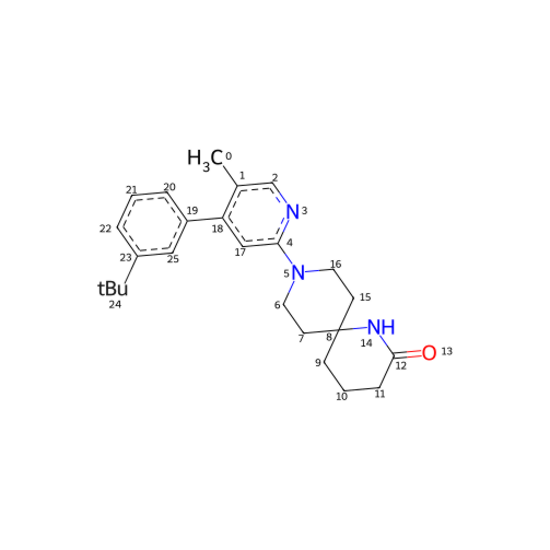 Cc1cnc(N2CCC3(CCCC(=O)N3)CC2)cc1-c1cccc(C(C)(C)C)c1